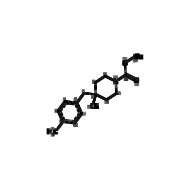 Cc1ccc(CC2(C#N)CCN(C(=O)OC(C)(C)C)CC2)cc1